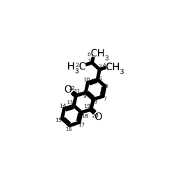 CC(C)C(C)c1ccc2c(c1)C(=O)c1ccccc1C2=O